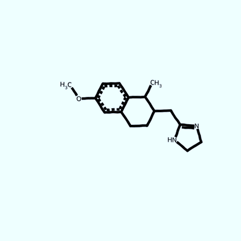 COc1ccc2c(c1)CCC(CC1=NCCN1)C2C